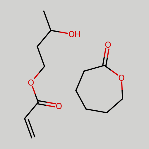 C=CC(=O)OCCC(C)O.O=C1CCCCCO1